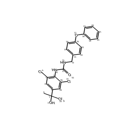 CC(O)(c1cc(Cl)c(NC(=O)NCc2ccc(Oc3ccccc3)cc2)c(Cl)c1)C(F)(F)F